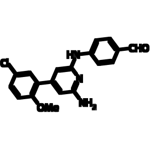 COc1ccc(Cl)cc1-c1cc(N)nc(Nc2ccc(C=O)cc2)c1